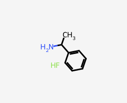 CC(N)c1ccccc1.F